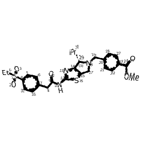 CCS(=O)(=O)c1ccc(CC(=O)Nc2nc3c(s2)CN(Cc2ccc(C(=O)OC)cc2)[C@H]3C(C)C)cc1